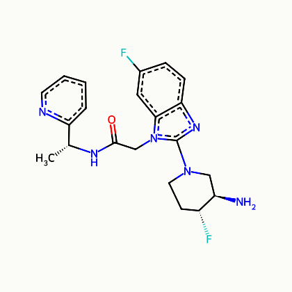 C[C@@H](NC(=O)Cn1c(N2CC[C@@H](F)[C@H](N)C2)nc2ccc(F)cc21)c1ccccn1